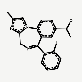 Cc1cn2c(n1)CN=C(c1ccccc1F)c1cc(C(C)O)ccc1-2